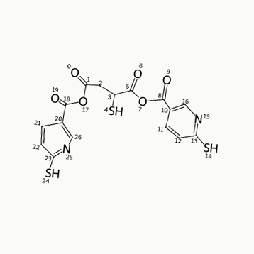 O=C(CC(S)C(=O)OC(=O)c1ccc(S)nc1)OC(=O)c1ccc(S)nc1